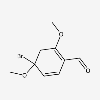 COC1=C(C=O)C=CC(Br)(OC)C1